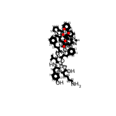 CC(C)C(NC(=O)C(Cc1ccccc1)NC(=O)C(Cc1ccccc1)NC(=O)C(Cc1c[nH]cn1)NC(=O)C(Cc1ccccc1)NC(=O)C1CCCN1C(=O)C(Cc1c[nH]cn1)NC(=O)C1CCCN1)C(=O)NC(Cc1ccc(O)cc1)C(=O)NC(CCCCN)C(=O)O